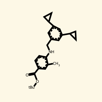 Cc1cc(C(=O)OC(C)(C)C)ccc1NCc1cc(C2CC2)cc(C2CC2)c1